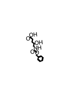 O=C(O)CCC(O)CNC(=O)OCc1ccccc1